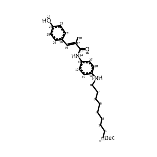 CCCCCCCCCCCCCCCCCCNc1ccc(NC(=O)C(C)=Cc2ccc(O)cc2)cc1